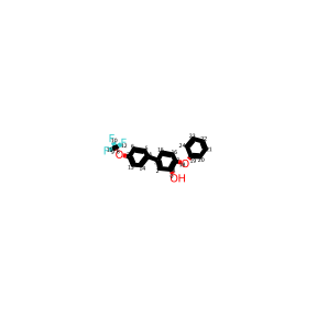 Oc1cc(-c2ccc(OC(F)(F)F)cc2)ccc1Oc1ccccc1